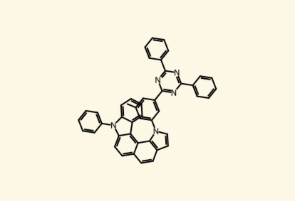 Cc1cc(-c2nc(-c3ccccc3)nc(-c3ccccc3)n2)cc(-n2ccc3ccc4ccc5c(c6ccccc6n5-c5ccccc5)c4c32)c1